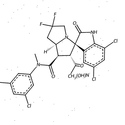 CN(O)C(=O)[C@@H]1[C@@H](C(=O)N(C)c2cc(Cl)cc(Cl)c2)[C@H]2CC(F)(F)CN2[C@]12C(=O)Nc1c(Cl)cc(Cl)cc12